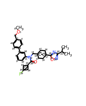 COCc1ccc(-c2cccc(N(CC34CCC(c5nc(C(C)C)no5)(CC3)CC4)C(=O)C34CC(F)(C3)C4)c2)cc1